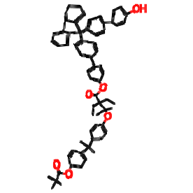 CCC(CC)(C(=O)Oc1ccc(-c2ccc(C3(c4ccc(-c5ccc(O)cc5)cc4)c4ccccc4-c4ccccc43)cc2)cc1)C(C)(C)Oc1ccc(C(C)(C)c2ccc(OC(=O)C(C)(C)C)cc2)cc1